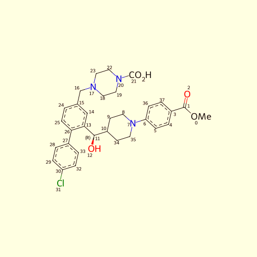 COC(=O)c1ccc(N2CCC([C@@H](O)c3cc(CN4CCN(C(=O)O)CC4)ccc3-c3ccc(Cl)cc3)CC2)cc1